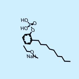 CCCCCCCCCc1ccccc1OP(=O)(O)O.CCOCC.[NaH]